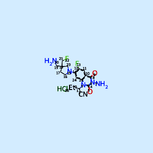 CCC(C#N)n1c(=O)n(N)c(=O)c2cc(F)c(N3CCC(CN)(CF)C3)cc21.Cl